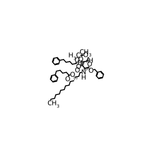 CCCCCCCCCCC[C@@H](CC(=O)N[C@H]1[C@H](OCc2ccccc2)O[C@@H]2COC(C)(C)O[C@H]2[C@@H]1OC(=O)CCCCc1ccccc1)OC(=O)CCCCc1ccccc1